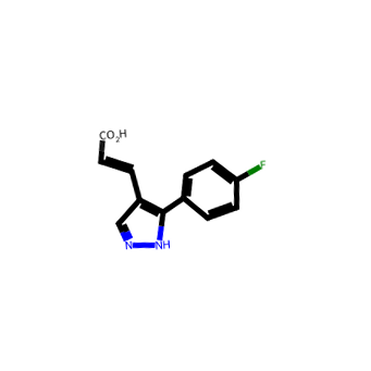 O=C(O)C=Cc1cn[nH]c1-c1ccc(F)cc1